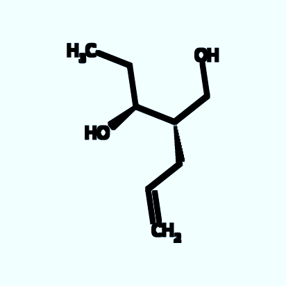 C=CC[C@@H](CO)[C@@H](O)CC